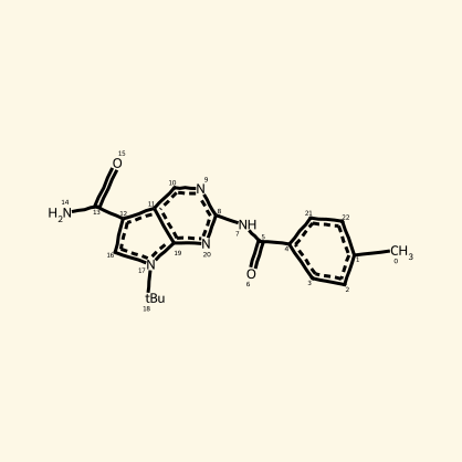 Cc1ccc(C(=O)Nc2ncc3c(C(N)=O)cn(C(C)(C)C)c3n2)cc1